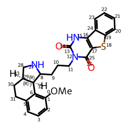 COc1cccc2c1[C@@H]1C(CCCn3c(=O)[nH]c4c(sc5ccccc54)c3=O)NC[C@@H]1CC2